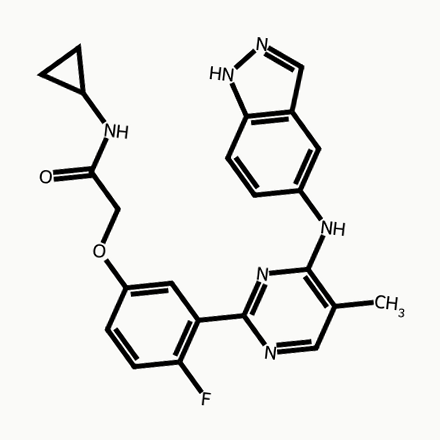 Cc1cnc(-c2cc(OCC(=O)NC3CC3)ccc2F)nc1Nc1ccc2[nH]ncc2c1